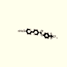 CCCCCC[C@H]1CC[C@H]([C@H]2CC[C@H](C(=O)Oc3ccc(C(F)(F)C(F)(F)F)cc3)CC2)CC1